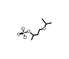 CC(C)OCCC(C)OP(=O)(Cl)Cl